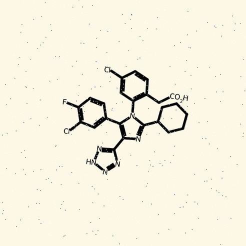 O=C(O)Cc1ccc(Cl)cc1-n1c(C2CCCCC2)nc(-c2nn[nH]n2)c1-c1ccc(F)c(Cl)c1